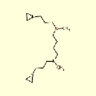 CN(CCCCN(C)CCCN1CC1)CCCN1CC1